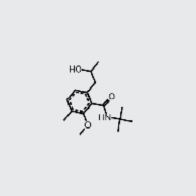 COc1c(C)ccc(CC(C)O)c1C(=O)NC(C)(C)C